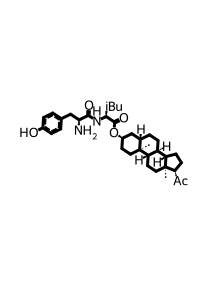 CCC(C)[C@H](NC(=O)[C@@H](N)Cc1ccc(O)cc1)C(=O)O[C@@H]1CC[C@@]2(C)[C@@H](CC[C@@H]3[C@@H]2CC[C@]2(C)[C@@H](C(C)=O)CC[C@@H]32)C1